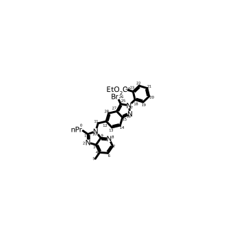 CCCc1nc2c(C)ccnc2n1Cc1ccc2nn(-c3ccccc3C(=O)OCC)c(Br)c2c1